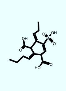 CCC=C1C(S(=O)(=O)O)=CC(C(=O)O)C(=CCCC)C1C(=O)O